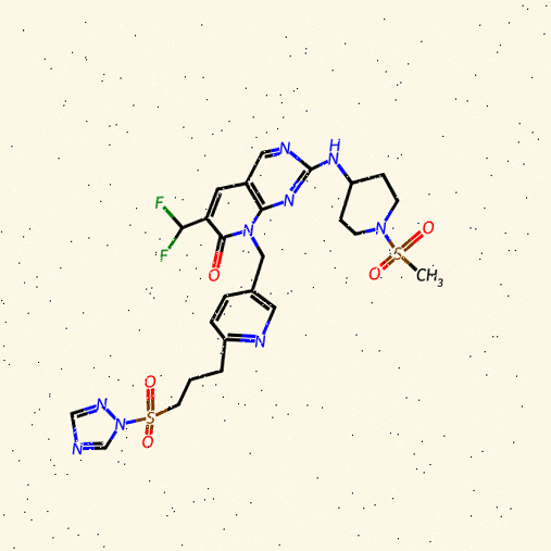 CS(=O)(=O)N1CCC(Nc2ncc3cc(C(F)F)c(=O)n(Cc4ccc(CCCS(=O)(=O)n5cncn5)nc4)c3n2)CC1